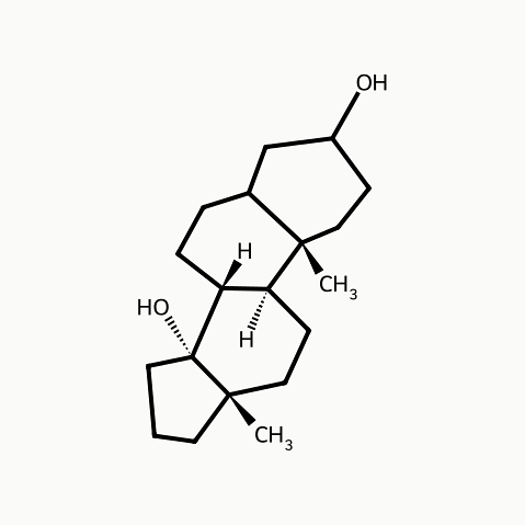 C[C@@]12CCC[C@@]1(O)[C@@H]1CCC3CC(O)CC[C@]3(C)[C@H]1CC2